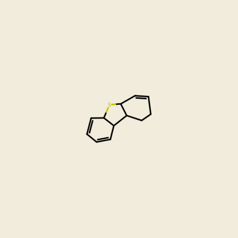 C1=CC2SC3C=CCCC3C2C=C1